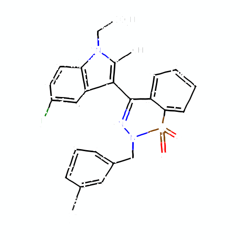 Cc1c(C2=NN(Cc3cccc(C(F)(F)F)c3)S(=O)(=O)c3ccccc32)c2cc(F)ccc2n1CC(=O)O